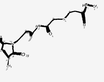 CNC(=O)CSCC(=O)NCCN1C(=O)C[C@H](C)C1=O